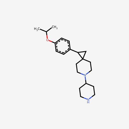 CC(C)Oc1ccc(C2CC23CCN(C2CCNCC2)CC3)cc1